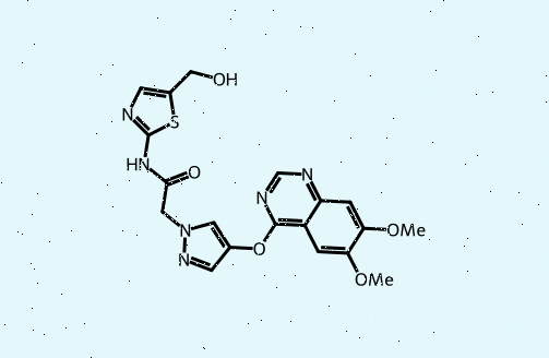 COc1cc2ncnc(Oc3cnn(CC(=O)Nc4ncc(CO)s4)c3)c2cc1OC